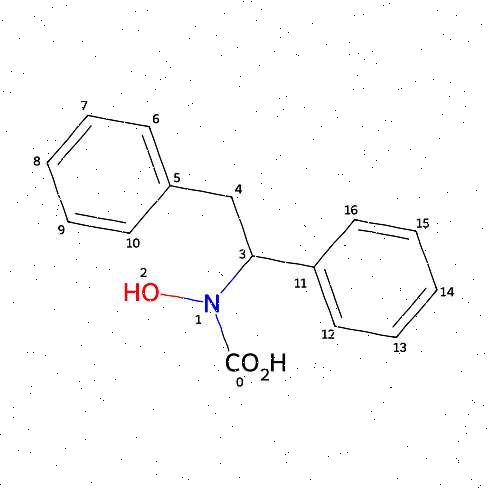 O=C(O)N(O)C(Cc1ccccc1)c1ccccc1